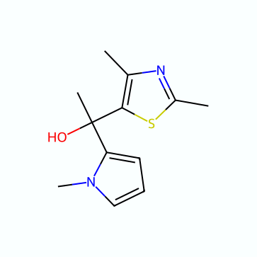 Cc1nc(C)c(C(C)(O)c2cccn2C)s1